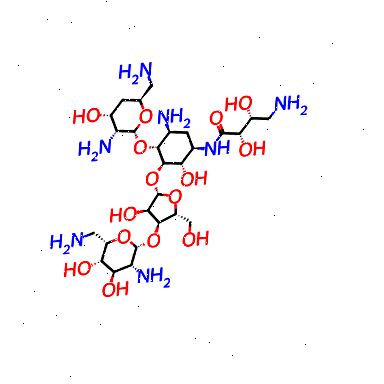 NC[C@@H]1C[C@@H](O)[C@@H](N)[C@@H](O[C@H]2[C@H](O[C@@H]3O[C@H](CO)[C@@H](O[C@H]4O[C@@H](CN)[C@@H](O)[C@H](O)[C@H]4N)[C@H]3O)[C@@H](O)[C@H](NC(=O)[C@@H](O)[C@H](O)CN)C[C@@H]2N)O1